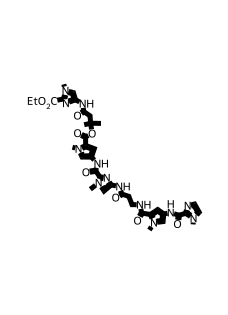 CCOC(=O)c1nc(NC(=O)CC(C)(C)OC(=O)c2cc(NC(=O)c3nc(NC(=O)CCNC(=O)c4cc(NC(=O)c5nccn5C)cn4C)cn3C)cn2C)cn1C